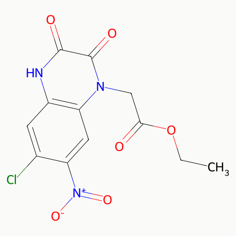 CCOC(=O)Cn1c(=O)c(=O)[nH]c2cc(Cl)c([N+](=O)[O-])cc21